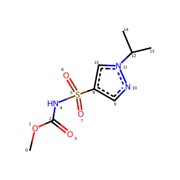 COC(=O)NS(=O)(=O)c1cnn(C(C)C)c1